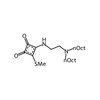 CCCCCCCCN(CCCCCCCC)CCNc1c(SC)c(=O)c1=O